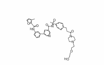 Cc1ccoc1C(=O)Nc1cccc(-c2cncc(C(=O)N=S(C)(=O)c3ccc(CCC(=O)N4CCN(CCOCCO)CC4)cc3)c2)c1